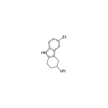 CCCC1CCc2[nH]c3ccc(CC)cc3c2C1